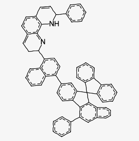 C1=CC(c2ccccc2)Nc2c1ccc1c2=NC(c2ccc(-c3ccc4c(c3)C3(c5ccccc5-c5ccccc53)c3c-4c(-c4ccccc4)cc4ccccc34)c3ccccc23)CC=1